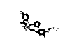 Cc1cc(SCCN(Cc2ccccc2)[SH](C)(=O)c2sc3ccc(Cl)cc3c2C)ccc1OCC(=O)O